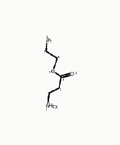 CCCCCCCCC(=O)OCCC(C)C